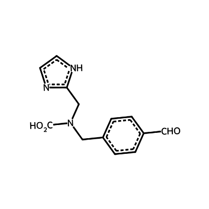 O=Cc1ccc(CN(Cc2ncc[nH]2)C(=O)O)cc1